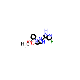 COC(=O)[C@H]1CCCC[C@@H]1n1ccc2cnc(-c3c[nH]c4ncc(F)cc34)nc21